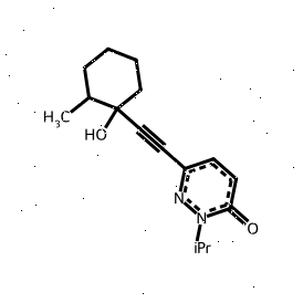 CC(C)n1nc(C#CC2(O)CCCCC2C)ccc1=O